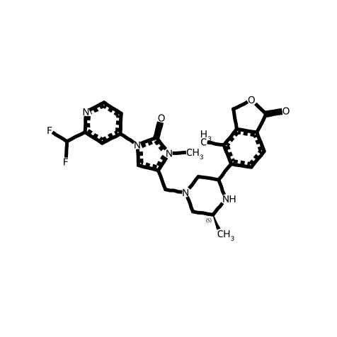 Cc1c(C2CN(Cc3cn(-c4ccnc(C(F)F)c4)c(=O)n3C)C[C@H](C)N2)ccc2c1COC2=O